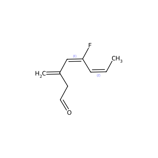 C=C(/C=C(F)\C=C/C)CC=O